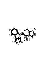 Cn1ncc2c1CC[C@H]([C@@H]1c3ccccc3-c3cncn31)[C@H]2O